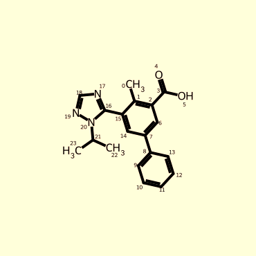 Cc1c(C(=O)O)cc(-c2ccccc2)cc1-c1ncnn1C(C)C